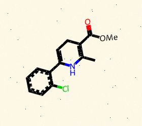 COC(=O)C1=C(C)NC(c2ccccc2Cl)=CC1